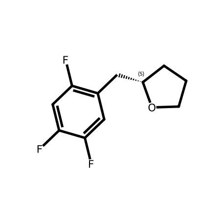 Fc1cc(F)c(C[C@@H]2CCCO2)cc1F